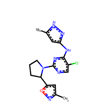 Cc1cc(C2CCCN2c2ncc(Cl)c(Nc3cc(C(C)(C)C)[nH]n3)n2)on1